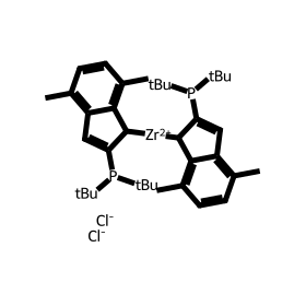 Cc1ccc(C)c2c1C=C(P(C(C)(C)C)C(C)(C)C)[CH]2[Zr+2][CH]1C(P(C(C)(C)C)C(C)(C)C)=Cc2c(C)ccc(C)c21.[Cl-].[Cl-]